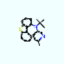 Cc1ccc(N(c2cccc3sc4ccccc4c23)C(C)(C)C)cn1